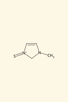 CN1C=C[N+](=S)C1